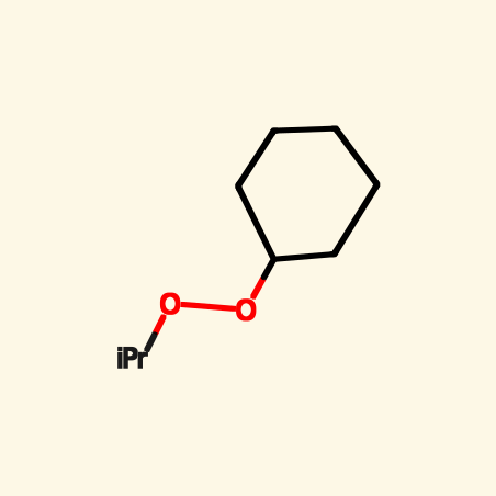 CC(C)OOC1CCCCC1